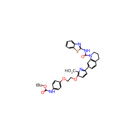 CC(C)(C)OC(=O)Nc1ccc(OCCOc2ccc(-c3ccc4c(c3)N(C(=O)Nc3nc5ccccc5s3)CCC4)nc2C(=O)O)cc1